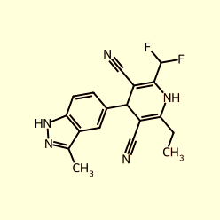 CCC1=C(C#N)C(c2ccc3[nH]nc(C)c3c2)C(C#N)=C(C(F)F)N1